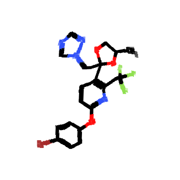 CC1COC(Cn2cncn2)(c2ccc(Oc3ccc(Br)cc3)nc2C(F)(F)F)O1